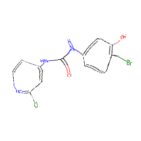 O=C(Nc1ccnc(Cl)c1)Nc1ccc(Br)c(O)c1